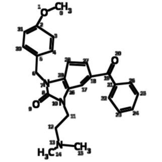 COc1ccc(Cn2c(=O)n(CCN(C)C)c3cc(C(=O)c4ccccc4)ccc32)cc1